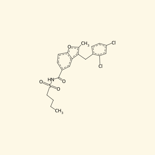 CCCCS(=O)(=O)NC(=O)c1ccc2oc(C)c(Cc3ccc(Cl)cc3Cl)c2c1